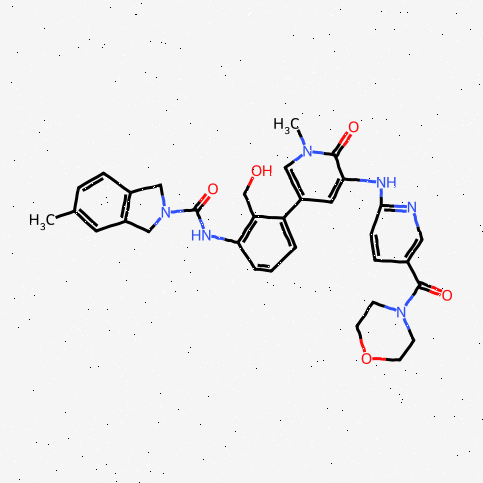 Cc1ccc2c(c1)CN(C(=O)Nc1cccc(-c3cc(Nc4ccc(C(=O)N5CCOCC5)cn4)c(=O)n(C)c3)c1CO)C2